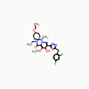 CCO[C@H]1CC[C@]2(CC1)N(CC)C(=O)C1=C(OC)C(O)C(c3nnc(Cc4ccc(F)cc4F)s3)=CN1N2C